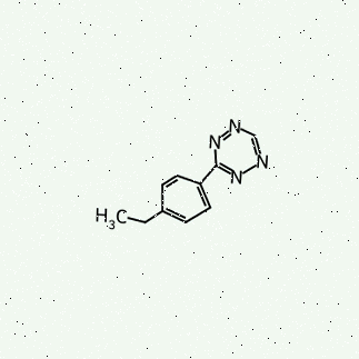 CCc1ccc(-c2nncnn2)cc1